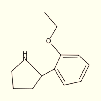 CCOc1ccccc1C1CCCN1